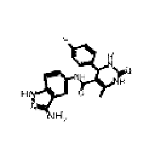 CC1=C(C(=O)Nc2ccc3[nH]nc(N)c3c2)C(c2ccc(F)cc2)NC(=O)N1